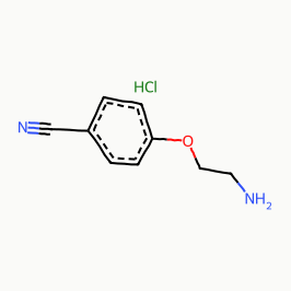 Cl.N#Cc1ccc(OCCN)cc1